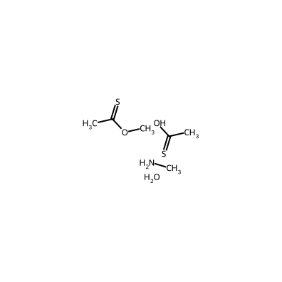 CC(O)=S.CN.COC(C)=S.O